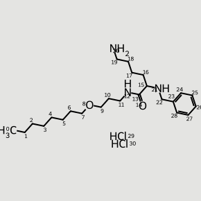 CCCCCCCCOCCCNC(=O)C(CCCCN)NCc1ccccc1.Cl.Cl